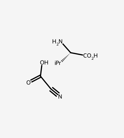 CC(C)[C@H](N)C(=O)O.N#CC(=O)O